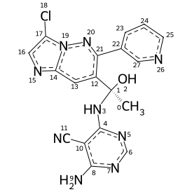 C[C@](O)(Nc1ncnc(N)c1C#N)c1cc2ncc(Cl)n2nc1-c1cccnc1